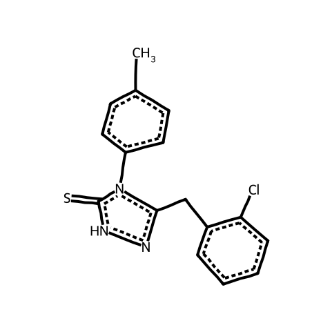 Cc1ccc(-n2c(Cc3ccccc3Cl)n[nH]c2=S)cc1